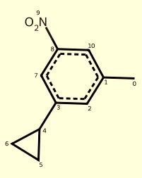 Cc1cc(C2CC2)cc([N+](=O)[O-])c1